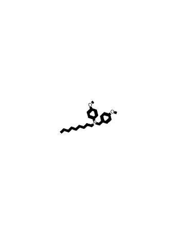 CCCCCCCCCN(Cc1ccc(OC)cc1)c1ccc(OC)cc1